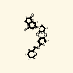 O=C1CCc2c(F)cc(N3CC[C@@H](Oc4ccc(OCC5CCCCO5)nc4)C3=O)cc21